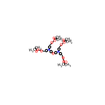 C=C(C)C(=O)OCCOCCc1ccc(N(c2ccc(CCOCCOC(=O)C(=C)C)cc2)c2ccc(Oc3ccc(N(c4ccc(CCOCCOC(=O)C(=C)C)cc4)c4ccc(CCOCCOC(=O)C(=C)C)cc4)cc3)cc2)cc1